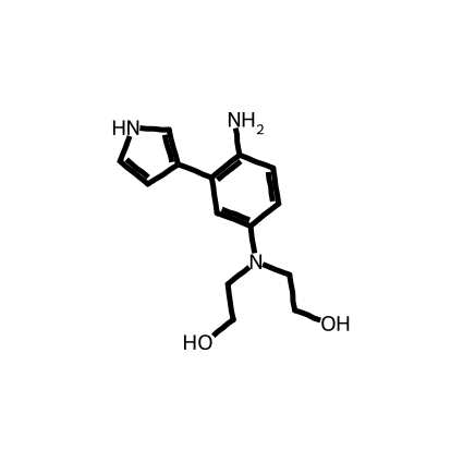 Nc1ccc(N(CCO)CCO)cc1-c1cc[nH]c1